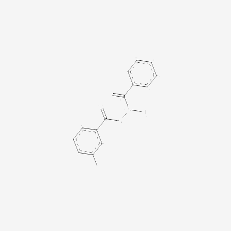 CCc1cccc(C(=O)NN(C(=O)c2ccccc2)C(C)(C)C)c1